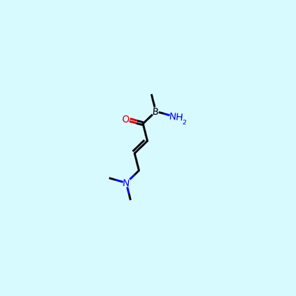 CB(N)C(=O)/C=C/CN(C)C